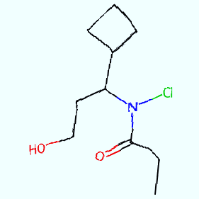 CCC(=O)N(Cl)C(CCO)C1CCC1